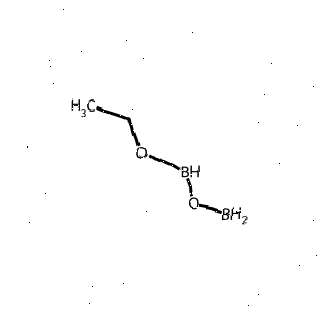 BOBOCC